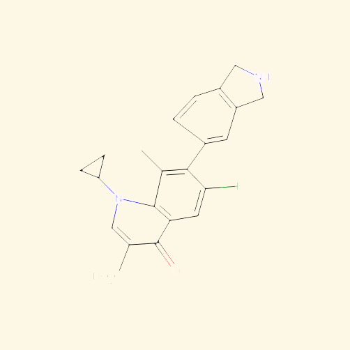 Cc1c(-c2ccc3c(c2)CNC3)c(F)cc2c(=O)c(C(=O)O)cn(C3CC3)c12